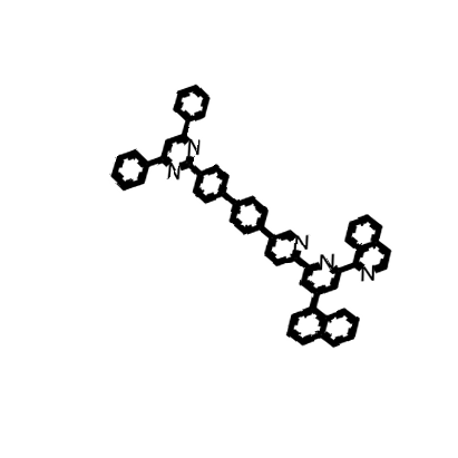 c1ccc(-c2cc(-c3ccccc3)nc(-c3ccc(-c4ccc(-c5ccc(-c6cc(-c7cccc8ccccc78)cc(-c7nccc8ccccc78)n6)nc5)cc4)cc3)n2)cc1